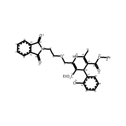 CCOC(=O)C1=C(COCCN2C(=O)c3ccccc3C2=O)NC(C)=C(C(=O)OC(C)C)C1c1ccccc1Cl